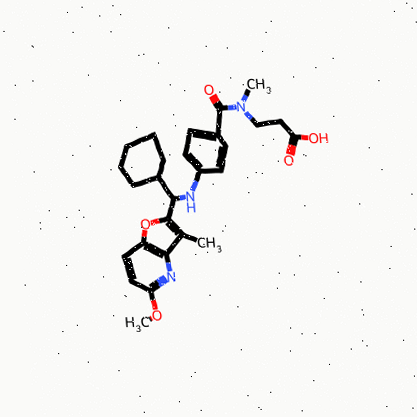 COc1ccc2oc(C(Nc3ccc(C(=O)N(C)CCC(=O)O)cc3)C3CCCCC3)c(C)c2n1